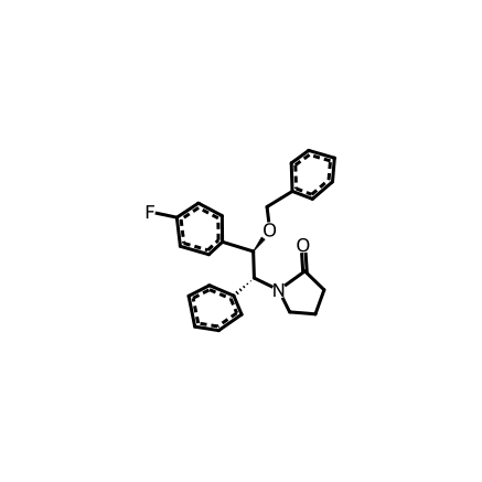 O=C1CCCN1[C@H](c1ccccc1)[C@H](OCc1ccccc1)c1ccc(F)cc1